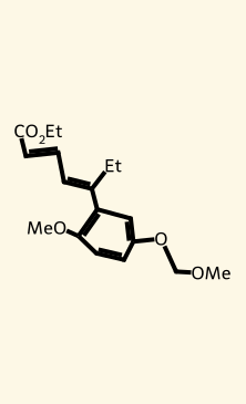 CCOC(=O)C=CC=C(CC)c1cc(OCOC)ccc1OC